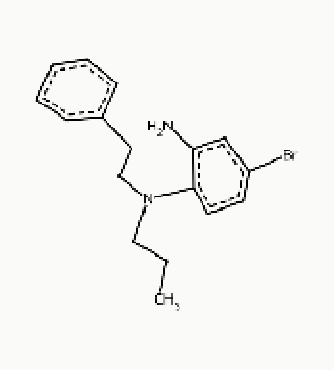 CCCN(CCc1ccccc1)c1ccc(Br)cc1N